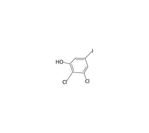 Oc1cc(I)cc(Cl)c1Cl